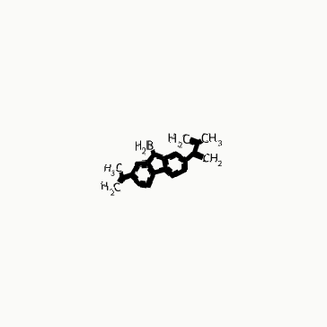 BC1c2cc(C(=C)C)ccc2-c2ccc(C(=C)C(=C)C)cc21